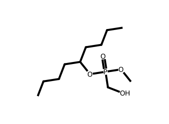 CCCCC(CCCC)OP(=O)(CO)OC